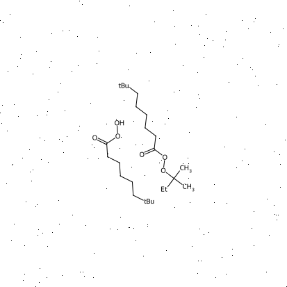 CC(C)(C)CCCCCC(=O)OO.CCC(C)(C)OOC(=O)CCCCCC(C)(C)C